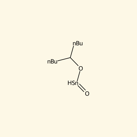 CCCCC(CCCC)[O][SnH]=[O]